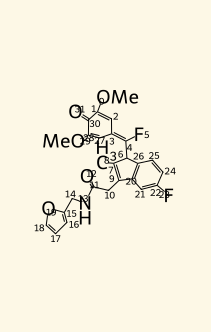 COC1=CC(=C(F)C2C(C)=C(CC(=O)NCc3ccco3)c3cc(F)ccc32)C=C(OC)C1=O